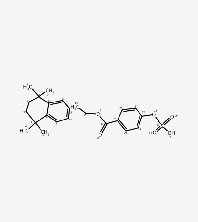 CC1(C)CCC(C)(C)c2ccccc21.CCOC(=O)c1ccc(OS(=O)(=O)O)cc1